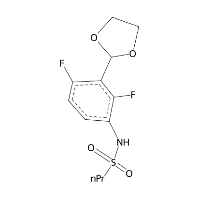 CCCS(=O)(=O)Nc1ccc(F)c(C2OCCO2)c1F